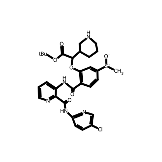 C[S+]([O-])c1ccc(C(=O)Nc2cccnc2C(=O)Nc2ccc(Cl)cn2)c(OC(C(=O)OC(C)(C)C)C2CCCNC2)c1